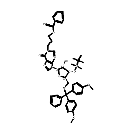 COc1ccc(C(OC[C@H]2O[C@@H](n3cnc4c(=O)n(CCCOC(=O)c5ccccc5)cnc43)[C@H](O)[C@@H]2O[Si](C)(C)C(C)(C)C)(c2ccccc2)c2ccc(OC)cc2)cc1